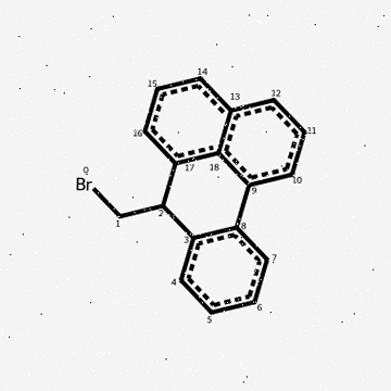 BrCC1c2ccccc2-c2cccc3cccc1c23